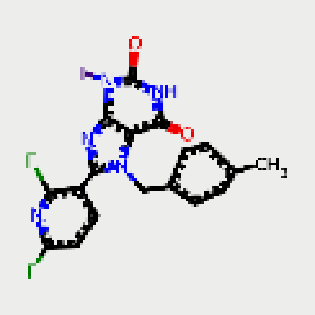 Cc1ccc(Cn2c(-c3ccc(F)nc3F)nc3c2c(=O)[nH]c(=O)n3I)cc1